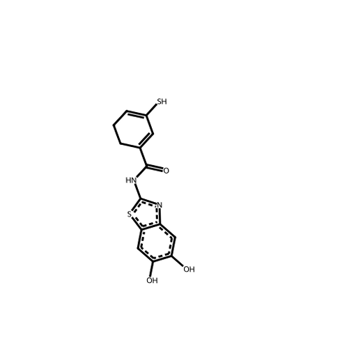 O=C(Nc1nc2cc(O)c(O)cc2s1)C1=CC(S)=CCC1